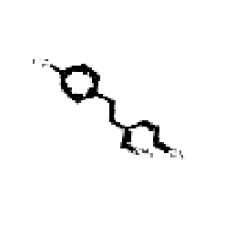 C=C/C=C\C(=C/C)CCc1ccc(C)cc1